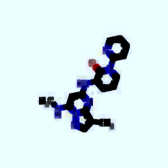 CNc1cc(Nc2cccn(-c3ccccn3)c2=O)nc2c(C)cnn12